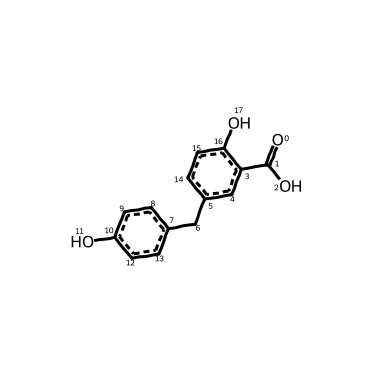 O=C(O)c1cc(Cc2ccc(O)cc2)ccc1O